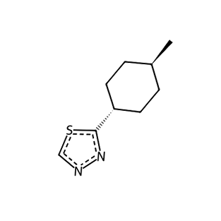 C[C@H]1CC[C@H](c2nncs2)CC1